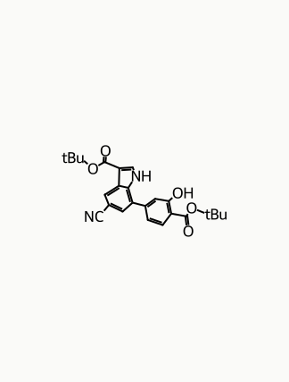 CC(C)(C)OC(=O)c1ccc(-c2cc(C#N)cc3c(C(=O)OC(C)(C)C)c[nH]c23)cc1O